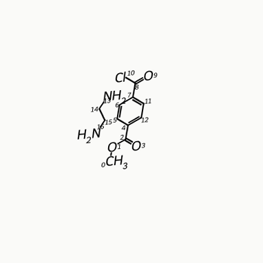 COC(=O)c1ccc(C(=O)Cl)cc1.NCCN